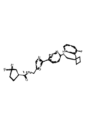 O=C(NCc1cnc(-c2ccc(NCC3(c4ncccc4F)CCC3)nn2)s1)[C@H]1CCC(F)(F)C1